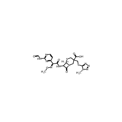 CON=C(C(=O)NC1C(=O)N2CC(CSc3nnnn3C)(C(=O)O)CS[C@H]12)c1ccnc(NC=O)n1